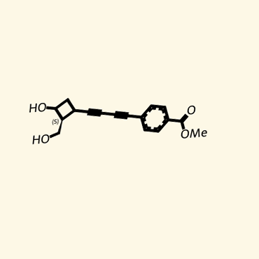 COC(=O)c1ccc(C#CC#CC2CC(O)[C@@H]2CO)cc1